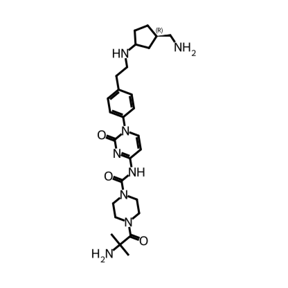 CC(C)(N)C(=O)N1CCN(C(=O)Nc2ccn(-c3ccc(CCNC4CC[C@@H](CN)C4)cc3)c(=O)n2)CC1